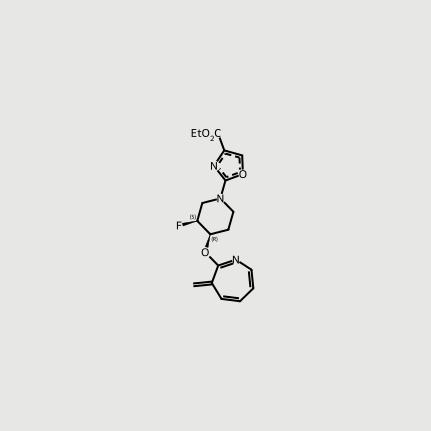 C=C1C=CC=CN=C1O[C@@H]1CCN(c2nc(C(=O)OCC)co2)C[C@@H]1F